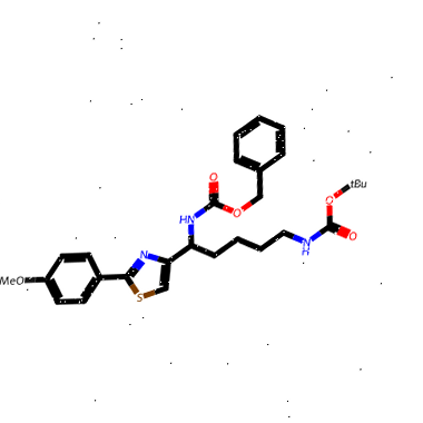 COc1ccc(-c2nc(C(CCCCNC(=O)OC(C)(C)C)NC(=O)OCc3ccccc3)cs2)cc1